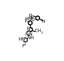 CCc1cc(-c2ccc(NS(=O)(=O)Cc3ccc(C#N)cc3)c(F)c2)nc2cnc(N[C@@H]3CNC[C@@H](CF)C3)nc12